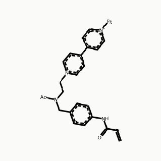 C=CC(=O)Nc1ccc(CN(CC[n+]2ccc(-c3cc[n+](CC)cc3)cc2)C(C)=O)cc1